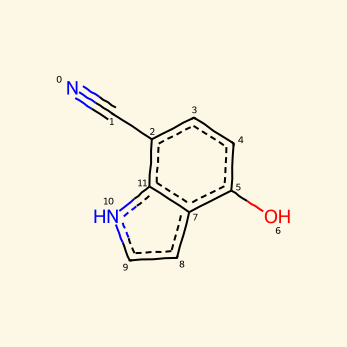 N#Cc1ccc(O)c2cc[nH]c12